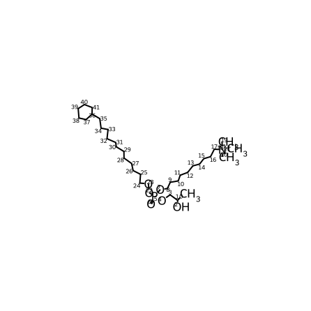 CC(O)COP(=O)(OCCCCCCCCCC[N+](C)(C)C)OOCCCCCCCCCCCCC1CCCCC1